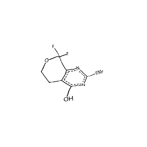 CSc1nc(O)c2c(n1)C(F)(F)OCC2